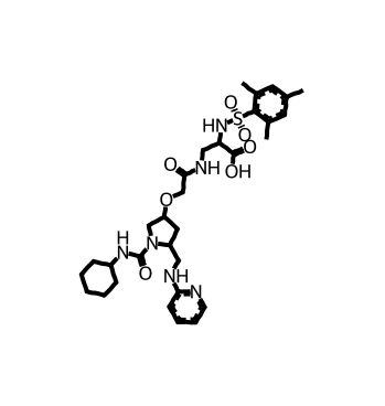 Cc1cc(C)c(S(=O)(=O)NC(CNC(=O)COC2CC(CNc3ccccn3)N(C(=O)NC3CCCCC3)C2)C(=O)O)c(C)c1